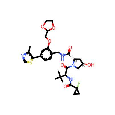 Cc1ncsc1-c1ccc(CNC(=O)[C@@H]2C[C@@H](O)CN2C(=O)C(NC(=O)C2(F)CC2)C(C)(C)C)c(OCC2OCCO2)c1